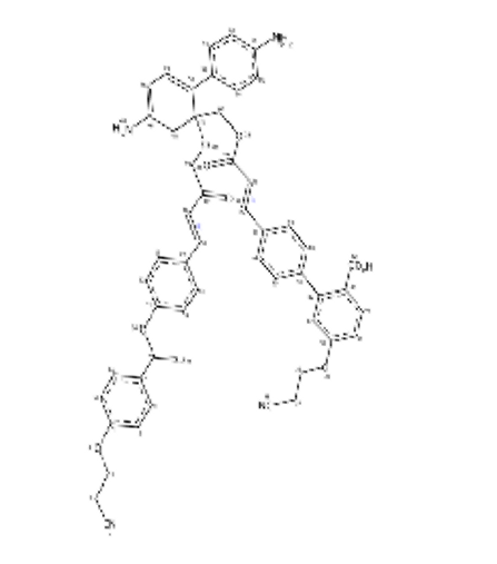 N#CCCOc1ccc(C(=O)Oc2ccc(/C=C/C(=O)COC3(COC(=O)/C=C/c4ccc(-c5cc(OCCC#N)ccc5C(=O)O)cc4)CC(N)=CC=C3c3ccc(N)cc3)cc2)cc1